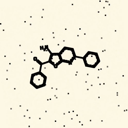 Nc1c(C(=O)c2ccccc2)oc2nc(-c3ccccc3)ccc12